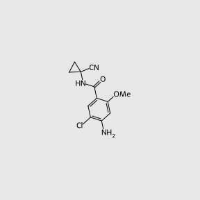 COc1cc(N)c(Cl)cc1C(=O)NC1(C#N)CC1